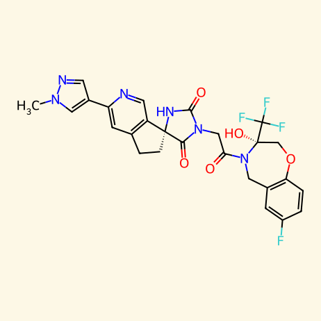 Cn1cc(-c2cc3c(cn2)[C@@]2(CC3)NC(=O)N(CC(=O)N3Cc4cc(F)ccc4OC[C@]3(O)C(F)(F)F)C2=O)cn1